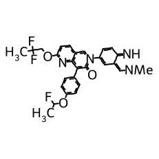 CN/C=C1/C=C(n2cc3ccc(OCC(C)(F)F)nc3c(-c3ccc(OC(C)F)cc3)c2=O)C=CC1=N